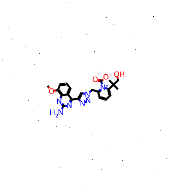 COc1cccc2c(-c3cn(Cc4cccc(C(C)(C)CO)[n+]4C(=O)[O-])nn3)nc(N)nc12